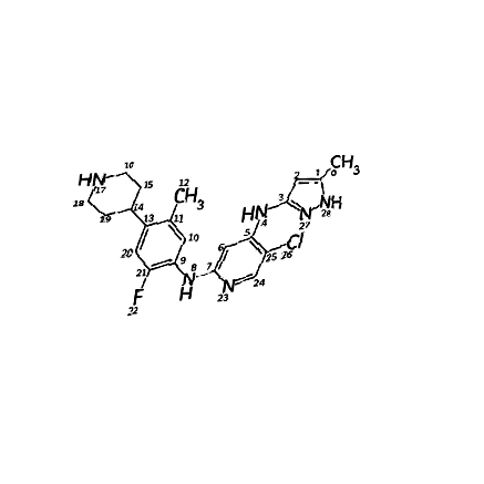 Cc1cc(Nc2cc(Nc3cc(C)c(C4CCNCC4)cc3F)ncc2Cl)n[nH]1